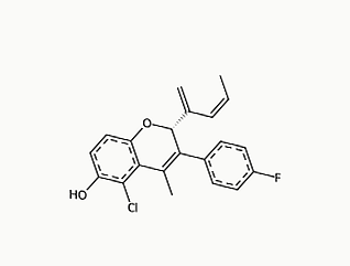 C=C(/C=C\C)[C@H]1Oc2ccc(O)c(Cl)c2C(C)=C1c1ccc(F)cc1